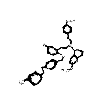 O=C(O)Oc1ccc2c(n1)CCCC2N(CCc1ccc(C(=O)O)cc1)CCc1cc(F)ccc1OCc1ccc(CCc2ccc(C(F)(F)F)cc2)cc1